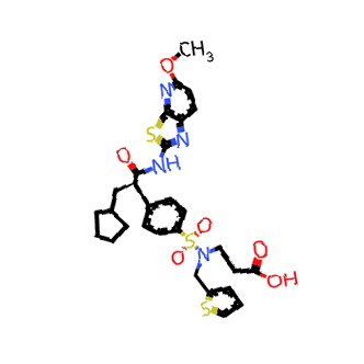 COc1ccc2nc(NC(=O)[C@H](CC3CCCC3)c3ccc(S(=O)(=O)N(CCC(=O)O)Cc4cccs4)cc3)sc2n1